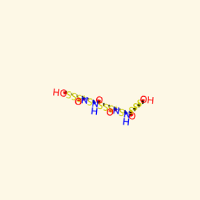 O=C(NCSC/N=C/[S+]([O-])CSCSC(=O)NCSC/N=C/[S+]([O-])CSCSCO)SCSCSCO